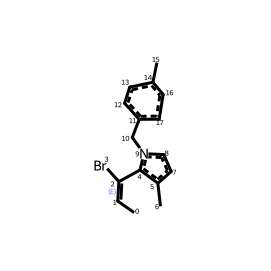 C/C=C(/Br)c1c(C)ccn1Cc1ccc(C)cc1